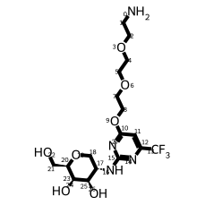 NCCOCCOCCOc1cc(C(F)(F)F)nc(N[C@H]2CO[C@H](CO)[C@H](O)[C@@H]2O)n1